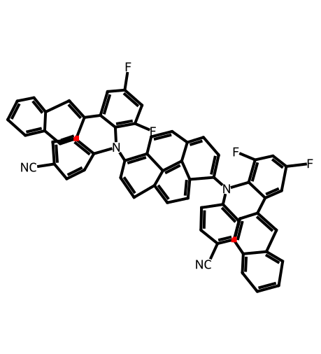 N#Cc1ccc(N(c2c(F)cc(F)cc2-c2ccc3ccccc3c2)c2ccc3ccc4c(N(c5ccc(C#N)cc5)c5c(F)cc(F)cc5-c5ccc6ccccc6c5)ccc5ccc2c3c54)cc1